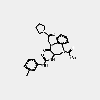 Cc1cccc(NC(=O)NC2CN(C(=O)C(C)(C)C)c3ccccc3N(CC(=O)N3CCCC3)C2=O)c1